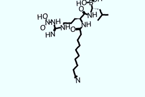 CC(C)C[C@H](NC(=O)[C@H](CCCNC(=N)N[N+](=O)O)NC(=O)CCCCCCCCC#N)B(O)O